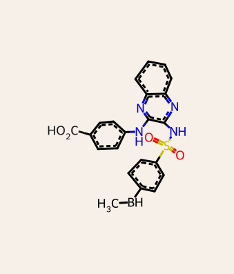 CBc1ccc(S(=O)(=O)Nc2nc3ccccc3nc2Nc2ccc(C(=O)O)cc2)cc1